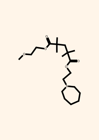 COCCOC(=O)C(C)(C)CC(C)(C)C(=O)OCCN1CCCCCC1